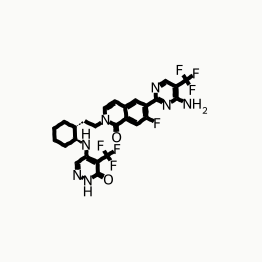 Nc1nc(-c2cc3ccn(CC[C@H]4CCCC[C@@H]4Nc4cn[nH]c(=O)c4C(F)(F)F)c(=O)c3cc2F)ncc1C(F)(F)F